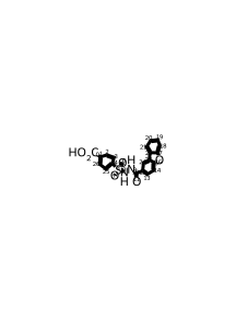 O=C(O)c1ccc(S(=O)(=O)NNC(=O)c2ccc3oc4ccccc4c3c2)cc1